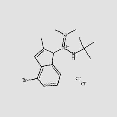 CC1=Cc2c(Br)cccc2[CH]1[Ti+2]([NH]C(C)(C)C)=[Si](C)C.[Cl-].[Cl-]